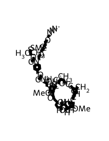 C=C1C[C@@H]2CC[C@]34C[C@@H](OC)[C@H](O3)[C@H]3C[C@@H](O4)[C@H]4OC(CC[C@@H]4O3)CC(=O)C[C@@H]3[C@@H](OC)[C@@H](C[C@H](O)CNC(=O)OCc4ccc(N(CCOCCOCCOCCN=[N+]=[N-])C(=O)OCC(C)(C)SSC)cc4)O[C@H]3CC3O[C@@H](CCC1O2)C[C@@H](C)C3=C